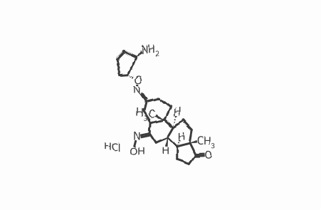 C[C@]12CCC(=NO[C@@H]3CCC[C@H]3N)CC1/C(=N/O)C[C@@H]1[C@@H]2CC[C@]2(C)C(=O)CC[C@@H]12.Cl